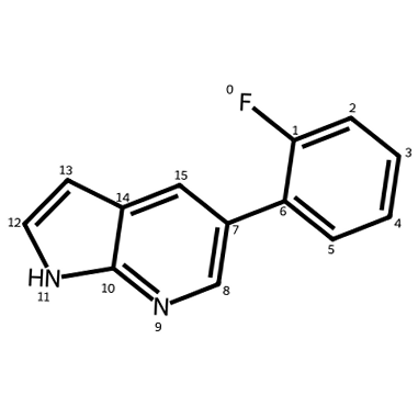 Fc1ccccc1-c1cnc2[nH]ccc2c1